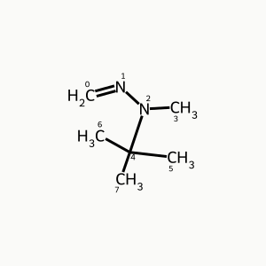 C=NN(C)C(C)(C)C